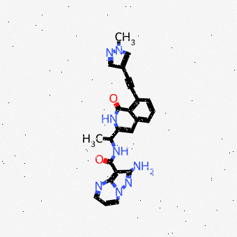 CC(NC(=O)c1c(N)nn2cccnc12)c1cc2cccc(C#Cc3cnn(C)c3)c2c(=O)[nH]1